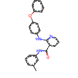 Cc1cccc(NC(=O)c2cccnc2Nc2ccc(Oc3ccccc3)cc2)c1